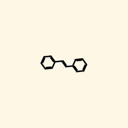 [c]1ccccc1C=Cc1ccccc1